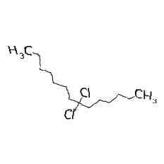 CCCCCCCC(Cl)(Cl)CCCCCC